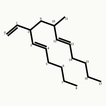 [CH]=CC(C=CCCCC)CC(C)C=CCCCC